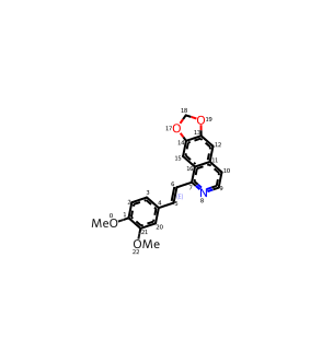 COc1ccc(/C=C/c2nccc3cc4c(cc23)OCO4)cc1OC